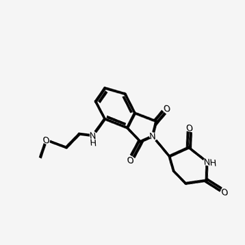 COCCNc1cccc2c1C(=O)N(C1CCC(=O)NC1=O)C2=O